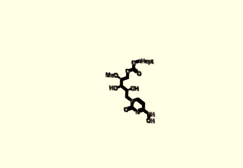 CCCCCCCOC(=O)OC[C@@H](OC)[C@H](O)[C@H](O)Cn1ccc(NO)nc1=O